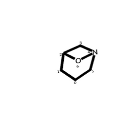 C1CC2CN(C1)O2